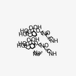 O=C(O)c1c(OC2CN(C(=O)C[C@@H]3CCNC3)C2)ccc2c1O[B-](O)(O)CC2.O=C(O)c1c(OC2CN(C(=O)C[C@@H]3CCNC3)C2)ccc2c1O[B-](O)(O)CC2.[Na+].[Na+]